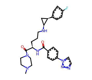 CN1CCN(C(=O)[C@@H](CCCN[C@H]2C[C@H]2c2ccc(F)cc2)NC(=O)c2ccc(-n3ccnn3)cc2)CC1